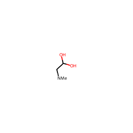 [CH2]NCC(O)O